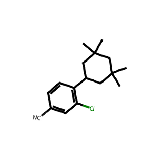 CC1(C)CC(c2ccc(C#N)cc2Cl)CC(C)(C)C1